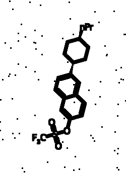 CCC[C@H]1CC[C@H](c2ccc3cc(OS(=O)(=O)C(F)(F)F)ccc3c2)CC1